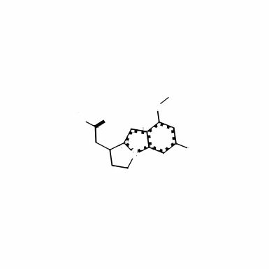 CSc1cc(F)cc2c1cc1n2CCC1CC(=O)O